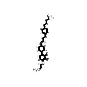 CCCCCc1ccc(CC/C=C/C2CCC(c3ccc(OCCC)c(F)c3F)CC2)cc1